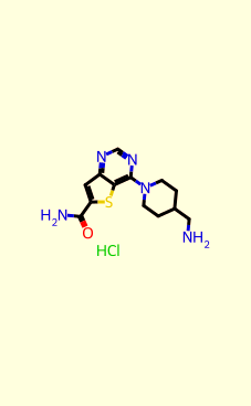 Cl.NCC1CCN(c2ncnc3cc(C(N)=O)sc23)CC1